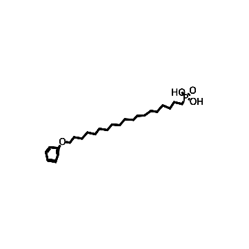 O=P(O)(O)CCCCCCCCCCCCCCCCCCCOc1ccccc1